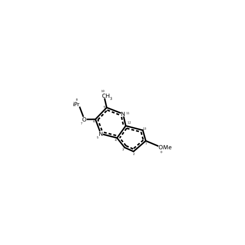 COc1ccc2nc(OC(C)C)c(C)nc2c1